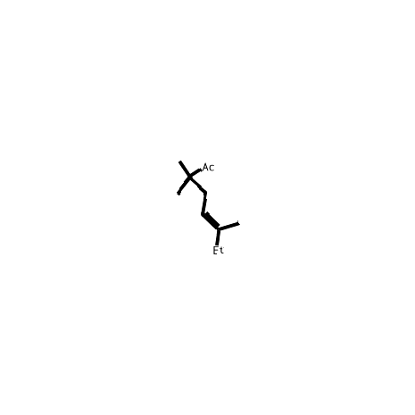 CCC(C)=CCC(C)(C)C(C)=O